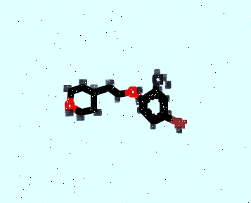 FC(F)(F)c1cc(Br)ccc1OCCC1CCOCC1